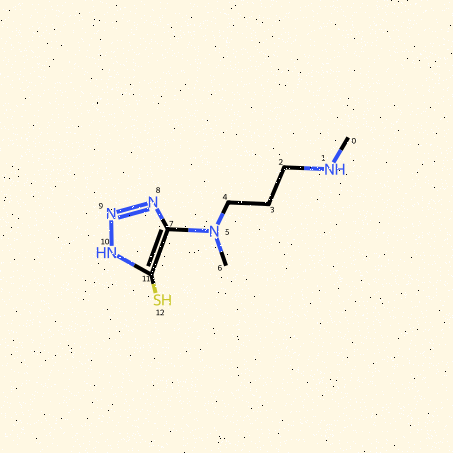 CNCCCN(C)c1nn[nH]c1S